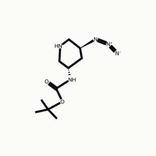 CC(C)(C)OC(=O)N[C@@H]1CNC[C@@H](N=[N+]=[N-])C1